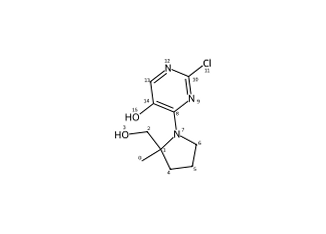 CC1(CO)CCCN1c1nc(Cl)ncc1O